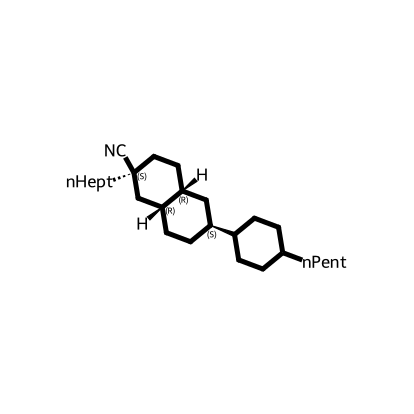 CCCCCCC[C@]1(C#N)CC[C@@H]2C[C@@H](C3CCC(CCCCC)CC3)CC[C@@H]2C1